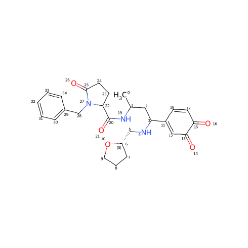 CC(CC(NC[C@@H]1CCCO1)C1=CC(=O)C(=O)C=C1)NC(=O)C1CCC(=O)N1Cc1ccccc1